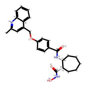 Cc1cc(COc2ccc(C(=O)N[C@@H]3CCCCC[C@@H]3C(=O)NO)cc2)c2ccccc2n1